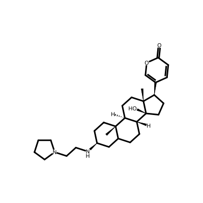 C[C@]12CC[C@H](NCCN3CCCC3)CC1CC[C@@H]1[C@@H]2CC[C@]2(C)[C@@H](c3ccc(=O)oc3)CC[C@]12O